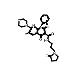 O=C(NCCCN1CCCC1=O)c1c(=O)c2cc(F)c(N3CCOCC3)nc2n2c1sc1ccccc12